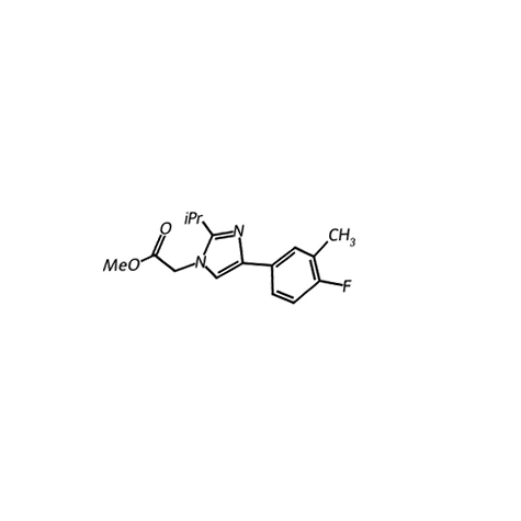 COC(=O)Cn1cc(-c2ccc(F)c(C)c2)nc1C(C)C